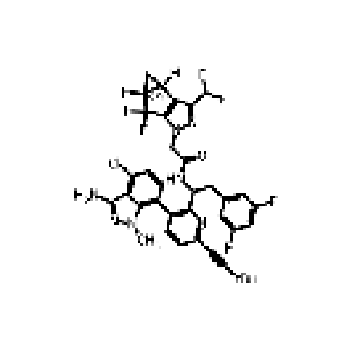 Cn1nc(N)c2c(Cl)ccc(-c3ccc(C#CC(C)(C)C)nc3C(Cc3cc(F)cc(F)c3)NC(=O)Cn3nc(C(F)F)c4c3C(F)(F)[C@@H]3C[C@H]43)c21